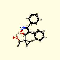 CC(O)C1(c2onc(-c3ccccc3)c2-c2ccccc2)CC1